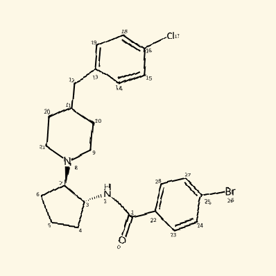 O=C(N[C@@H]1CCC[C@H]1N1CCC(Cc2ccc(Cl)cc2)CC1)c1ccc(Br)cc1